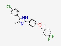 Cc1nc(-c2ccc(OCC3(C)CCC(F)(F)CC3)cc2)[nH]c1-c1ccc(Cl)cc1